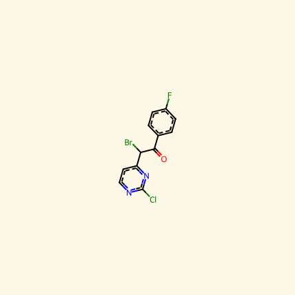 O=C(c1ccc(F)cc1)C(Br)c1ccnc(Cl)n1